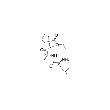 CCOC(=O)C1(NC(=O)[C@H](C)NC(=O)[C@@H](N)CC(C)C)CCCC1